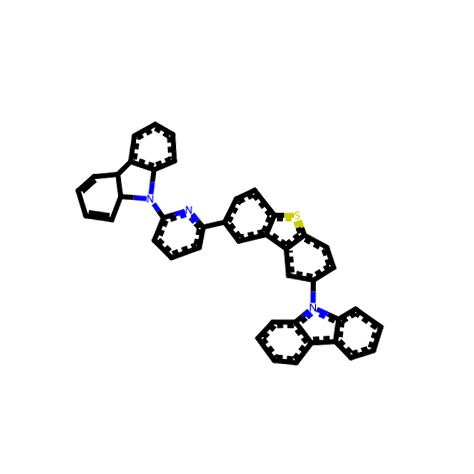 C1=CC2c3ccccc3N(c3cccc(-c4ccc5sc6ccc(-n7c8ccccc8c8ccccc87)cc6c5c4)n3)C2C=C1